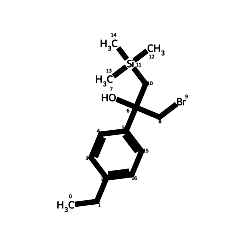 CCc1ccc(C(O)(CBr)C[Si](C)(C)C)cc1